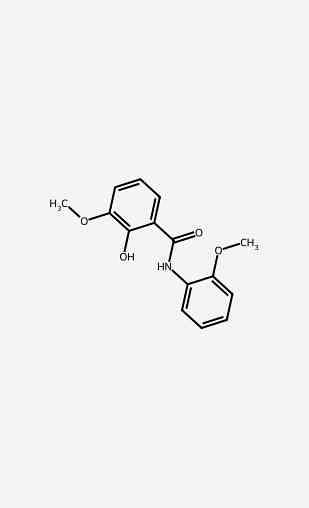 COc1ccccc1NC(=O)c1cccc(OC)c1O